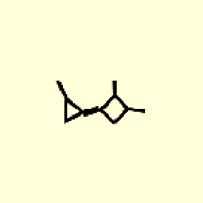 CC1CC1=C1CC(C)C1C